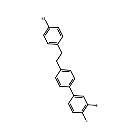 CCc1ccc(CCc2ccc(-c3ccc(F)c(F)c3)cc2)cc1